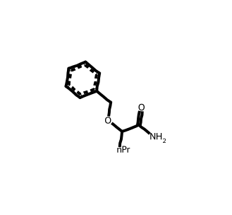 [CH2]CCC(OCc1ccccc1)C(N)=O